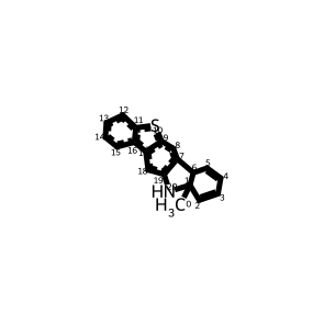 CC12C=CC=CC1c1cc3sc4ccccc4c3cc1N2